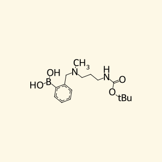 CN(CCCNC(=O)OC(C)(C)C)Cc1ccccc1B(O)O